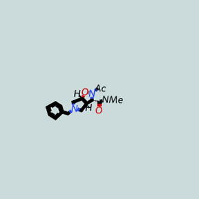 CNC(=O)[C@@H]1[C@H]2CN(Cc3ccccc3)C[C@H]2ON1C(C)=O